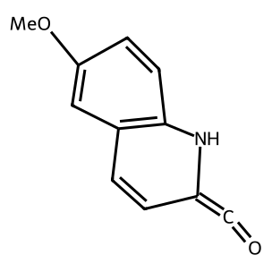 COc1ccc2c(c1)C=CC(=C=O)N2